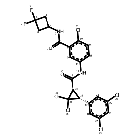 O=C(NC1CC(F)(F)C1)c1cc(NC(=O)[C@H]2[C@H](c3cc(Cl)cc(Cl)c3)C2(Cl)Cl)ccc1Cl